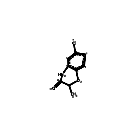 CC1Oc2ccc(Cl)cc2NC1=O